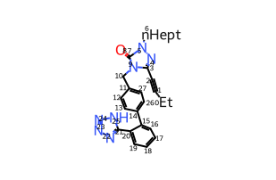 CCC#Cc1nn(CCCCCCC)c(=O)n1Cc1ccc(-c2ccccc2-c2nnn[nH]2)cc1